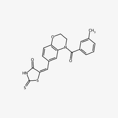 Cc1cccc(C(=O)N2CCOc3ccc(C=C4SC(=S)NC4=O)cc32)c1